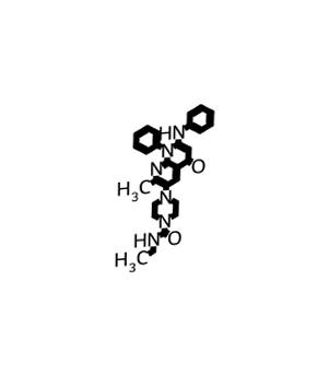 CCNC(=O)N1CCN(c2cc3c(=O)cc(Nc4ccccc4)n(-c4ccccc4)c3nc2C)CC1